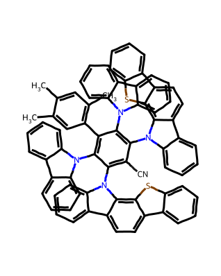 Cc1cc(C)c(-c2c(-n3c4ccccc4c4ccccc43)c(-n3c4ccccc4c4ccc5c6ccccc6sc5c43)c(C#N)c(-n3c4ccccc4c4ccc5c6ccccc6sc5c43)c2-n2c3ccccc3c3ccccc32)cc1C